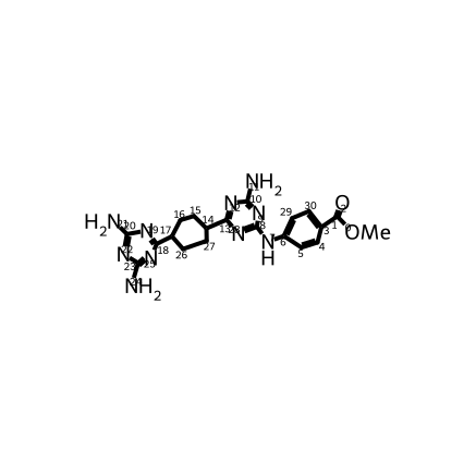 COC(=O)c1ccc(Nc2nc(N)nc(C3CCC(c4nc(N)nc(N)n4)CC3)n2)cc1